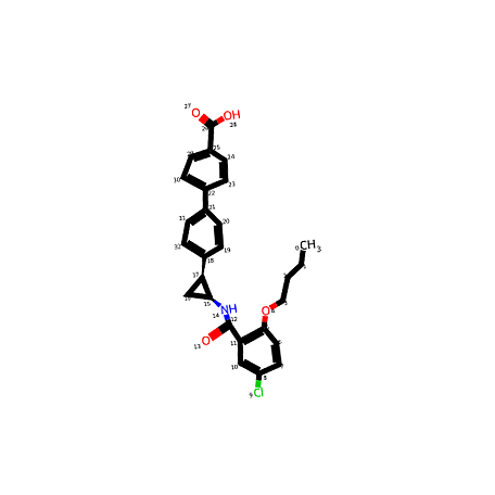 CCCCOc1ccc(Cl)cc1C(=O)N[C@H]1C[C@H]1c1ccc(-c2ccc(C(=O)O)cc2)cc1